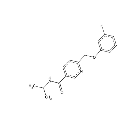 CC(C)NC(=O)c1ccc(COc2cccc(F)c2)nc1